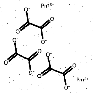 O=C([O-])C(=O)[O-].O=C([O-])C(=O)[O-].O=C([O-])C(=O)[O-].[Pm+3].[Pm+3]